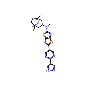 CN(c1nc2sc(-c3cnc(-c4cn[nH]c4)nc3)nc2s1)C1C[C@H]2CC[C@@H](C1)N2